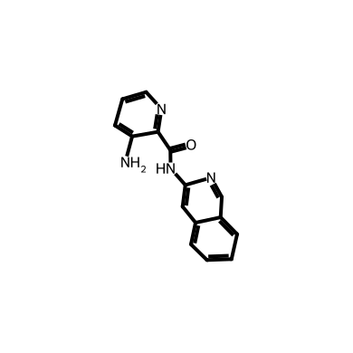 Nc1cccnc1C(=O)Nc1cc2ccccc2cn1